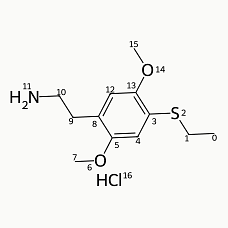 CCSc1cc(OC)c(CCN)cc1OC.Cl